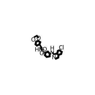 O=S(=O)(NCc1ccc2c(c1)OCCO2)c1cccc(Nc2nccc3ccc(Cl)cc23)c1